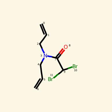 C=CCN(CC=C)C(=O)C(Br)Br